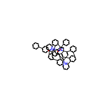 C1=C2c3ccccc3-c3ccc4c(c3)C13C1=C5c6cc7c(-c8ccc(-c9ccccc9)cc8)cc6-c6cccc(-c8ccccc8)[n+]6C25/C=C(/c2ccccc2-7)C25/C=C(/c6ccccc6-c6ccc(c(c6)C2)-c2cccc[n+]25)C13[n+]1ccccc1-4